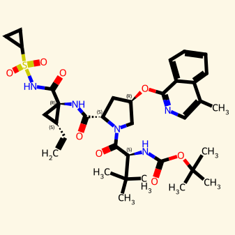 C=C[C@@H]1C[C@]1(NC(=O)[C@@H]1C[C@@H](Oc2ncc(C)c3ccccc23)CN1C(=O)[C@@H](NC(=O)OC(C)(C)C)C(C)(C)C)C(=O)NS(=O)(=O)C1CC1